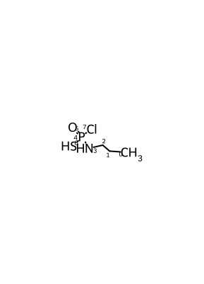 CCCNP(=O)(S)Cl